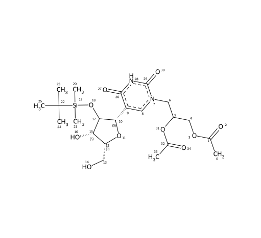 CC(=O)OCC(Cn1cc([C@@H]2O[C@H](CO)[C@H](O)C2O[Si](C)(C)C(C)(C)C)c(=O)[nH]c1=O)OC(C)=O